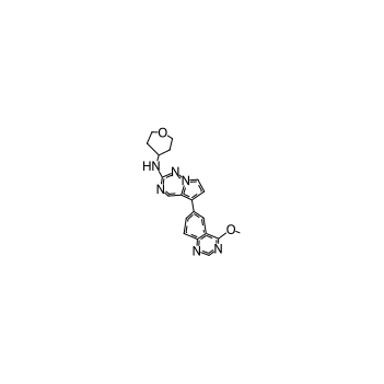 COc1ncnc2ccc(-c3ccn4nc(NC5CCOCC5)ncc34)cc12